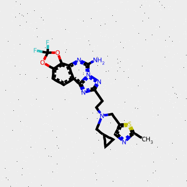 Cc1ncc(CN(CCc2nc3c4ccc5c(c4nc(N)n3n2)OC(F)(F)O5)CC2CC2)s1